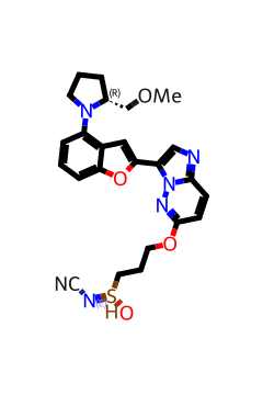 COC[C@H]1CCCN1c1cccc2oc(-c3cnc4ccc(OCCC/[SH](=O)=N\C#N)nn34)cc12